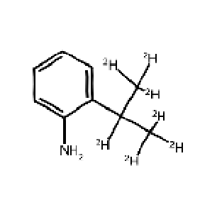 [2H]C([2H])([2H])C([2H])(c1ccccc1N)C([2H])([2H])[2H]